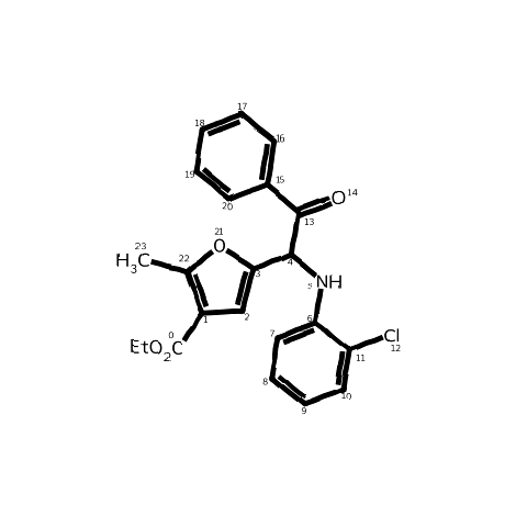 CCOC(=O)c1cc(C(Nc2ccccc2Cl)C(=O)c2ccccc2)oc1C